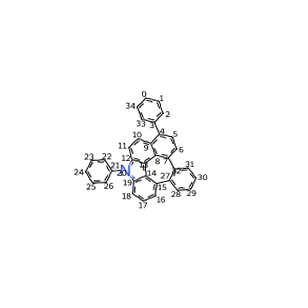 c1ccc(-c2ccc3c4c2ccc2c4c4c(cccc4n2-c2ccccc2)-c2ccccc2-3)cc1